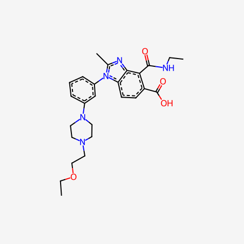 CCNC(=O)c1c(C(=O)O)ccc2c1nc(C)n2-c1cccc(N2CCN(CCOCC)CC2)c1